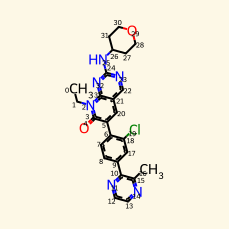 CCn1c(=O)c(-c2ccc(-c3nccnc3C)cc2Cl)cc2cnc(NC3CCOCC3)nc21